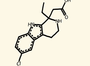 CCC1(CC(=O)O)NCCc2c1[nH]c1ccc(Cl)cc21